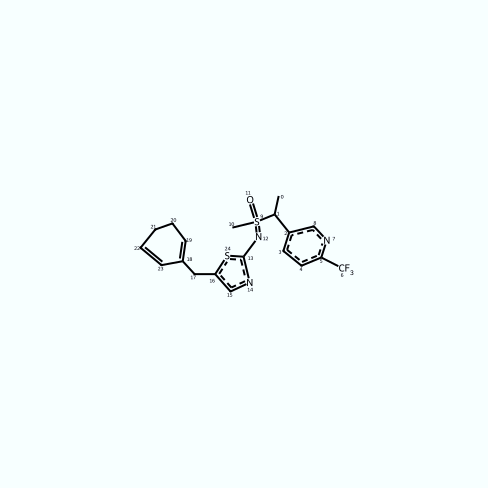 CC(c1ccc(C(F)(F)F)nc1)S(C)(=O)=Nc1ncc(CC2=CCCC=C2)s1